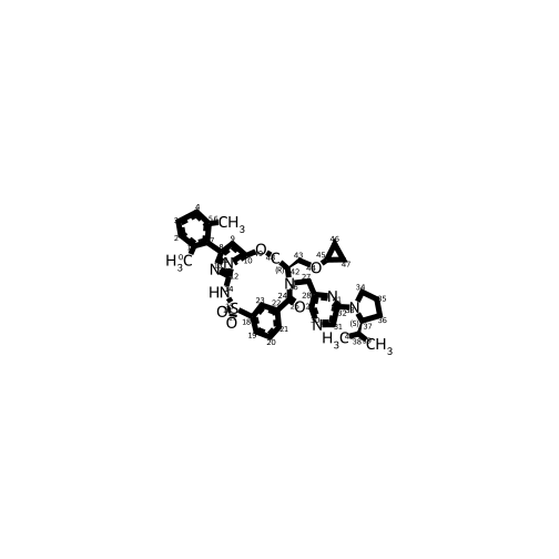 Cc1cccc(C)c1-c1cc2nc(n1)NS(=O)(=O)c1cccc(c1)C(=O)N(Cc1cncc(N3CCC[C@H]3C(C)C)n1)[C@H](COC1CC1)CO2